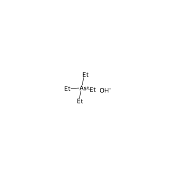 CC[As+](CC)(CC)CC.[OH-]